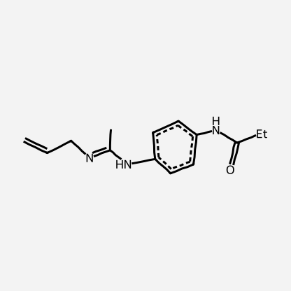 C=CC/N=C(\C)Nc1ccc(NC(=O)CC)cc1